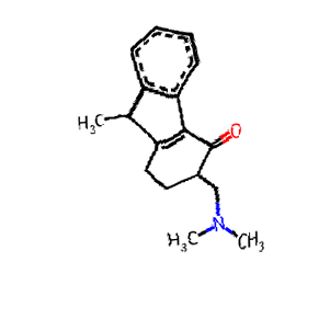 CC1C2=C(C(=O)C(CN(C)C)CC2)c2ccccc21